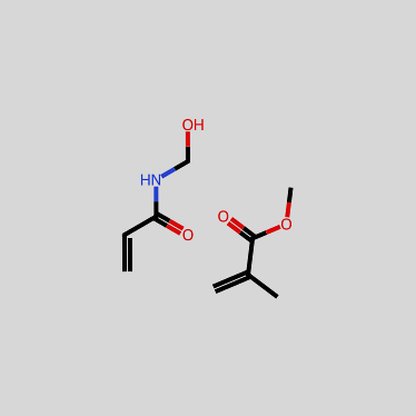 C=C(C)C(=O)OC.C=CC(=O)NCO